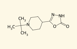 CC(C)(C)N1CCC(c2n[nH]c(=O)o2)CC1